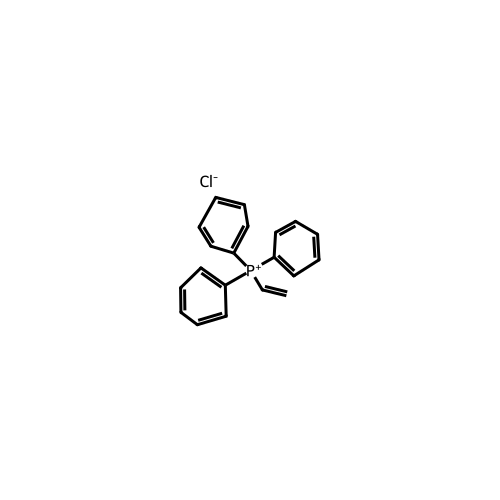 C=C[P+](c1ccccc1)(c1ccccc1)c1ccccc1.[Cl-]